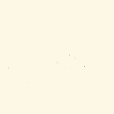 CCCCC1Cc2ccc(-c3cnc4c(=O)n(CC5(O)CCN(C(=O)CC(c6ccccc6)C(F)(F)F)CC5)cnn34)cc2C1